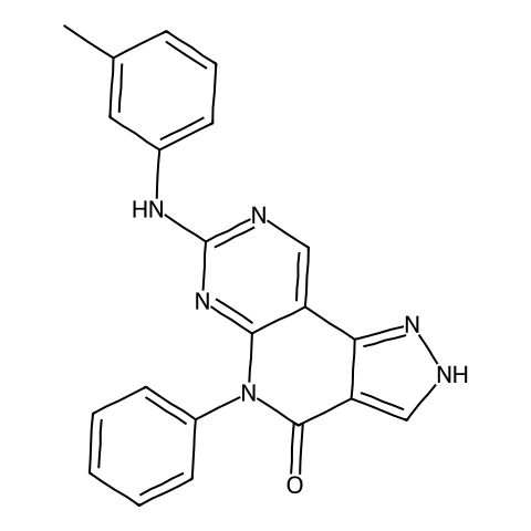 Cc1cccc(Nc2ncc3c4n[nH]cc4c(=O)n(-c4ccccc4)c3n2)c1